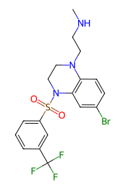 CNCCN1CCN(S(=O)(=O)c2cccc(C(F)(F)F)c2)c2cc(Br)ccc21